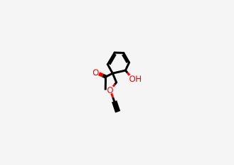 C#COCC1(C(C)=O)C=CC=CC1O